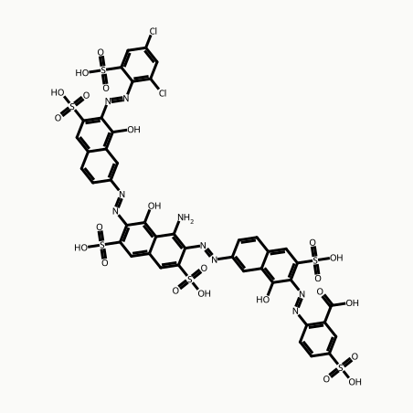 Nc1c(N=Nc2ccc3cc(S(=O)(=O)O)c(N=Nc4ccc(S(=O)(=O)O)cc4C(=O)O)c(O)c3c2)c(S(=O)(=O)O)cc2cc(S(=O)(=O)O)c(N=Nc3ccc4cc(S(=O)(=O)O)c(N=Nc5c(Cl)cc(Cl)cc5S(=O)(=O)O)c(O)c4c3)c(O)c12